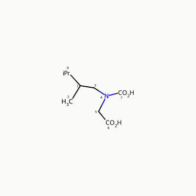 CC(C)C(C)CN(CC(=O)O)C(=O)O